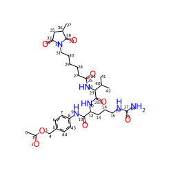 CC(=O)OCc1ccc(NC(=O)C(CCCNC(N)=O)NC(=O)C(NC(=O)CCCCCN2C(=O)CC(C)C2=O)C(C)C)cc1